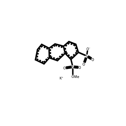 COS(=O)(=O)c1c(S(=O)(=O)[O-])ccc2cc3ccccc3cc12.[K+]